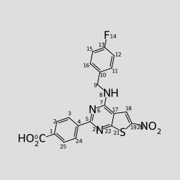 O=C(O)c1ccc(-c2nc(NCc3ccc(F)cc3)c3cc([N+](=O)[O-])sc3n2)cc1